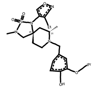 CCc1nocc1N1[C@@]2(CCN(Cc3ccc(O)c(OC(C)C)c3)[C@@H](C)C2)CN(C)S1(=O)=O